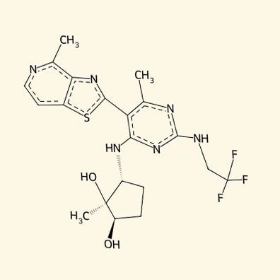 Cc1nc(NCC(F)(F)F)nc(N[C@@H]2CC[C@@H](O)[C@@]2(C)O)c1-c1nc2c(C)nccc2s1